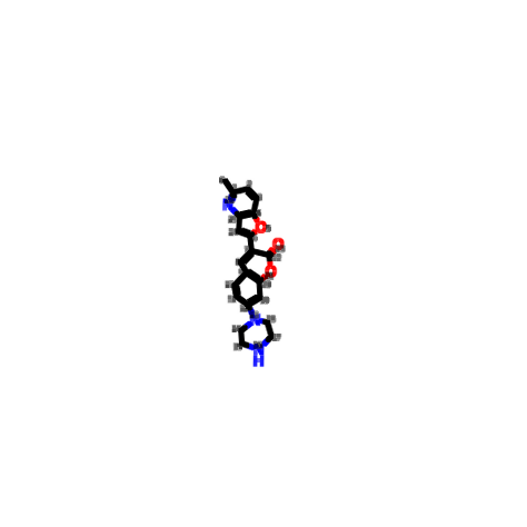 Cc1ccc2oc(-c3cc4ccc(N5CCNCC5)cc4oc3=O)cc2n1